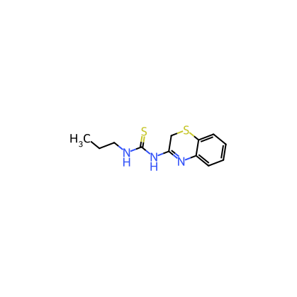 CCCNC(=S)NC1=Nc2ccccc2SC1